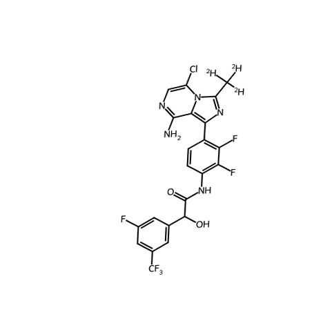 [2H]C([2H])([2H])c1nc(-c2ccc(NC(=O)C(O)c3cc(F)cc(C(F)(F)F)c3)c(F)c2F)c2c(N)ncc(Cl)n12